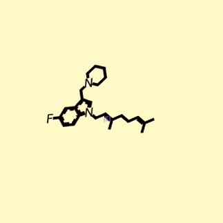 CC(C)=CCC/C(C)=C/Cn1cc(CN2CCCCC2)c2cc(F)ccc21